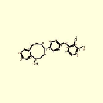 N[C@@H]1CC[C@H](c2ccc(Sc3ccnc(Cl)c3Cl)nc2)CCCc2ccccc21